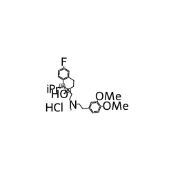 COc1ccc(CCN(C)CC[C@@]2(O)CCc3cc(F)ccc3[C@@H]2C(C)C)cc1OC.Cl